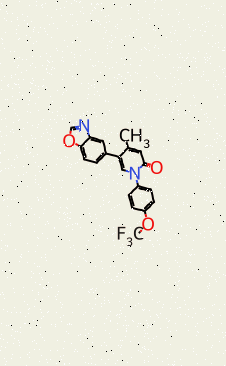 Cc1cc(=O)n(-c2ccc(OC(F)(F)F)cc2)cc1-c1ccc2ocnc2c1